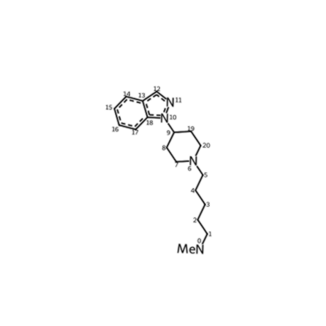 CNCCCCCN1CCC(n2ncc3ccccc32)CC1